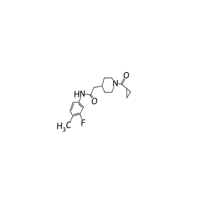 Cc1ccc(NC(=O)CC2CCN(C(=O)C3CC3)CC2)cc1F